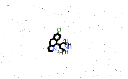 [2H]C1([2H])CC(=C2c3ccc(Cl)cc3CCc3cccnc32)CC([2H])([2H])N1